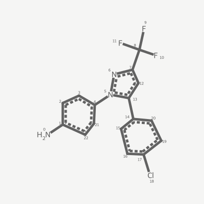 Nc1ccc(-n2nc(C(F)(F)F)cc2-c2ccc(Cl)cc2)cc1